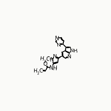 C=CC(=O)Nc1cc(-c2cnc3[nH]cc(-c4ccncn4)c3c2)nn1C